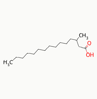 CCCCCCCCCCCCC(C)CC(=O)O